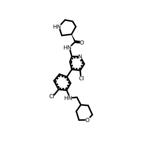 O=C(Nc1cc(-c2ccc(Cl)c(NCC3CCOCC3)c2)c(Cl)cn1)[C@@H]1CCCNC1